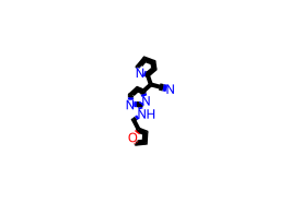 N#CC(c1ccccn1)c1ccnc(NCc2ccco2)n1